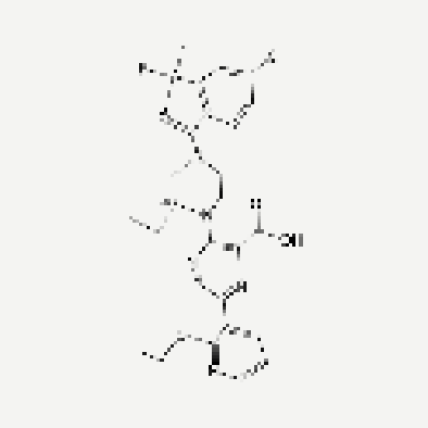 CCOc1ncccc1-c1cnc(N2CCN(C(=O)c3ccc(Cl)cc3C(F)(F)F)C[C@H]2CC)c(C(=O)O)n1